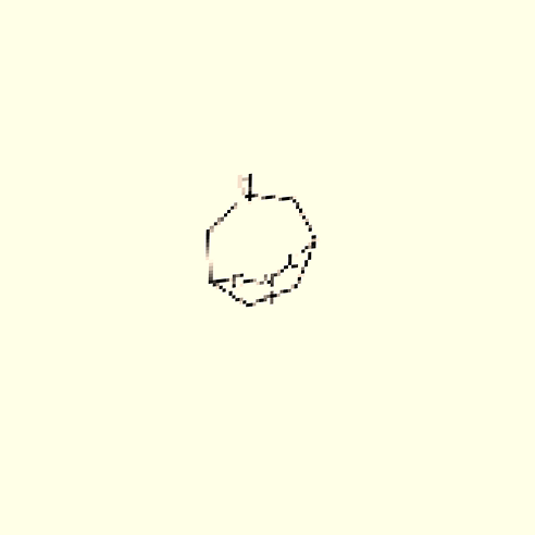 C1CC2CNCC1CNC2